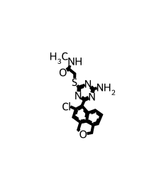 CNC(=O)CSc1nc(N)nc(-c2c(Cl)cc3c4c(cccc24)COC3)n1